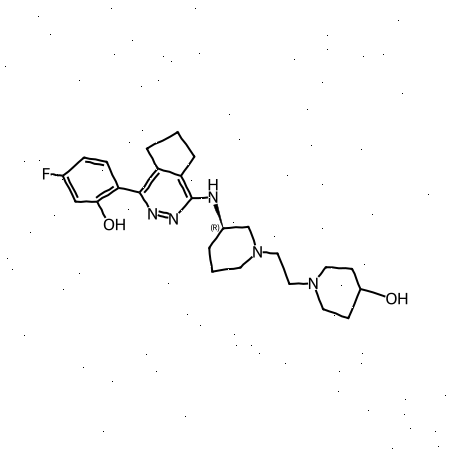 Oc1cc(F)ccc1-c1nnc(N[C@@H]2CCCN(CCN3CCC(O)CC3)C2)c2c1CCC2